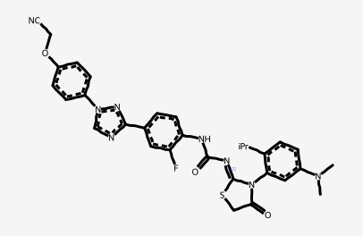 CC(C)c1ccc(N(C)C)cc1N1C(=O)CS/C1=N\C(=O)Nc1ccc(-c2ncn(-c3ccc(OCC#N)cc3)n2)cc1F